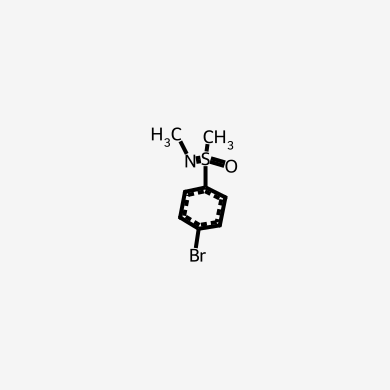 CN=S(C)(=O)c1ccc(Br)cc1